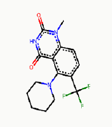 Cn1c(=O)[nH]c(=O)c2c(N3CCCCC3)c(C(F)(F)F)ccc21